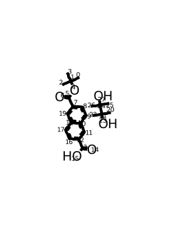 CC(C)(C)OC(=O)c1ccc2cc(C(=O)O)ccc2c1.CC(C)(O)C(C)(C)O